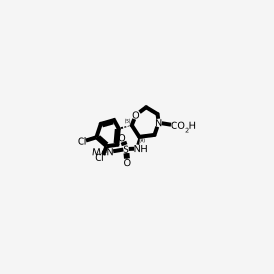 CNS(=O)(=O)N[C@@H]1CN(C(=O)O)CCO[C@H]1c1ccc(Cl)c(Cl)c1